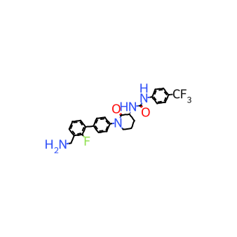 NCc1cccc(-c2ccc(N3CCC[C@@H](NC(=O)Nc4ccc(C(F)(F)F)cc4)C3=O)cc2)c1F